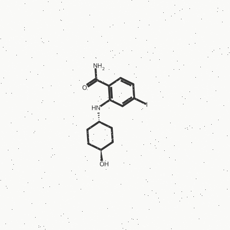 NC(=O)c1ccc(I)cc1N[C@H]1CC[C@H](O)CC1